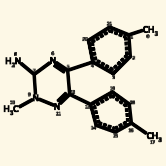 Cc1ccc(C2=NC(N)N(C)N=C2c2ccc(C)cc2)cc1